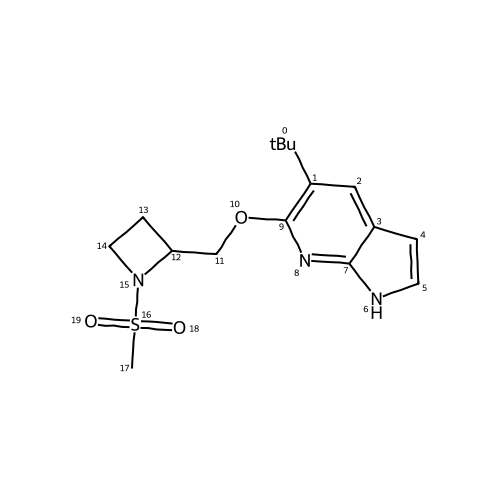 CC(C)(C)c1cc2cc[nH]c2nc1OCC1CCN1S(C)(=O)=O